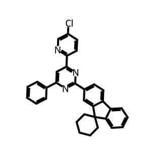 Clc1ccc(-c2cc(-c3ccccc3)nc(-c3ccc4c(c3)C3(CCCCC3)c3ccccc3-4)n2)nc1